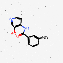 O=Nc1cccc(C(=O)Nc2ccncc2O)c1